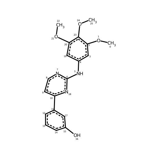 COc1cc(Nc2nccc(-c3cccc(O)c3)n2)cc(OC)c1OC